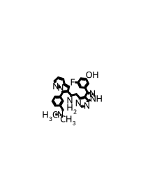 CN(C)Cc1cccc(-c2c(C(N)Cc3ncnc4[nH]nc(-c5cc(O)cc(F)c5)c34)cc3cccnn23)c1